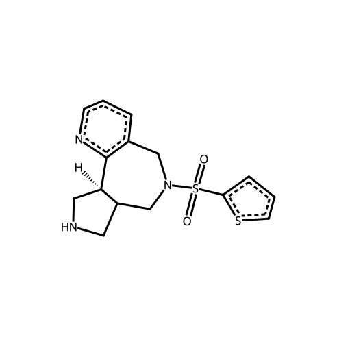 O=S(=O)(c1cccs1)N1Cc2cccnc2[C@@H]2CNCC2C1